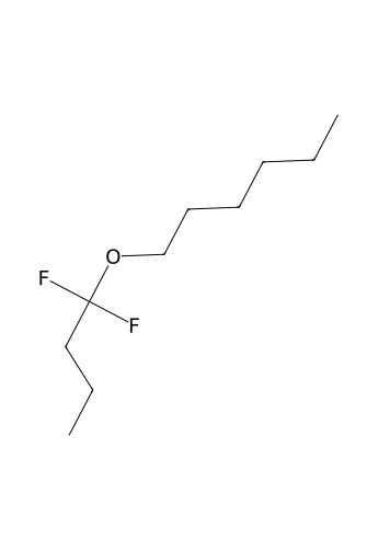 CCCCCCOC(F)(F)CCC